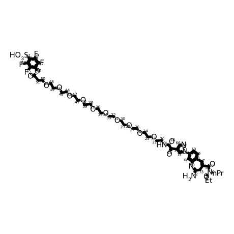 CCCN(OCC)C(=O)C1=Cc2ccc(-n3cc(C(=O)C(=O)NCCOCCOCCOCCOCCOCCOCCOCCOCCOCCOCCC(=O)Oc4c(F)c(F)c(S(=O)(=O)O)c(F)c4F)cn3)cc2N=C(N)C1